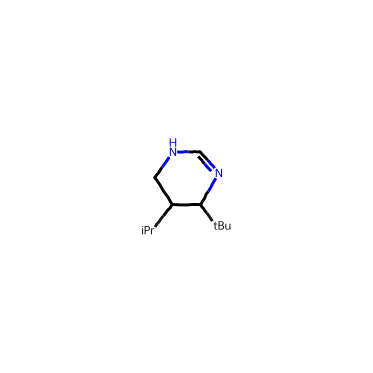 CC(C)C1CNC=NC1C(C)(C)C